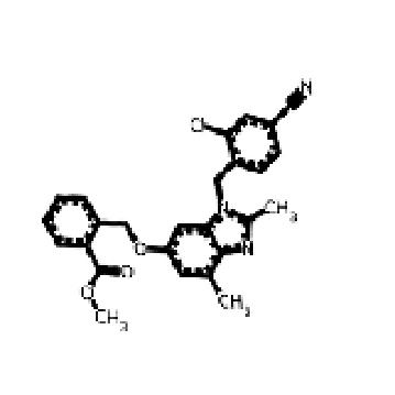 COC(=O)c1ccccc1COc1cc(C)c2nc(C)n(Cc3ccc(C#N)cc3Cl)c2c1